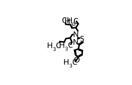 CCCCC(CC)CN(CC(CC)CCCC)c1nc(-c2ccc(OC)cc2)cs1